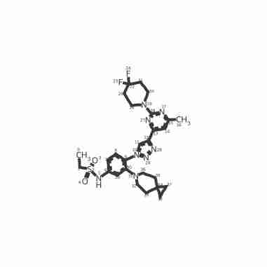 CCS(=O)(=O)Nc1ccc(-n2cc(-c3cc(C)nc(N4CCC(F)(F)CC4)n3)nn2)c(N2CCC3(CC2)CC3)c1